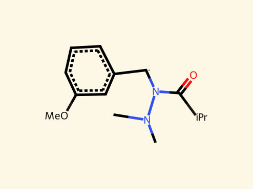 COc1cccc([CH]N(C(=O)C(C)C)N(C)C)c1